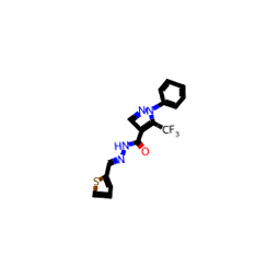 O=C(NN=Cc1cccs1)c1cnn(-c2ccccc2)c1C(F)(F)F